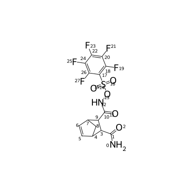 NC(=O)C1C2C=CC(C2)C1C(=O)NOS(=O)(=O)c1c(F)c(F)c(F)c(F)c1F